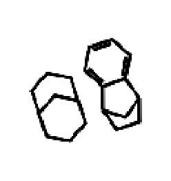 C1CC2CCCC(C1)C2.c1ccc2c(c1)C1CCC2C1